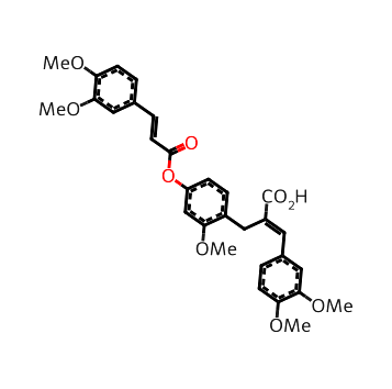 COc1cc(OC(=O)/C=C/c2ccc(OC)c(OC)c2)ccc1C/C(=C\c1ccc(OC)c(OC)c1)C(=O)O